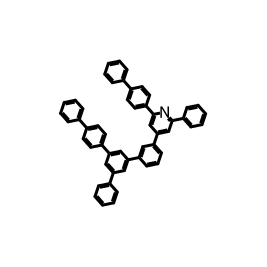 c1ccc(-c2ccc(-c3cc(-c4ccccc4)cc(-c4cccc(-c5cc(-c6ccccc6)nc(-c6ccc(-c7ccccc7)cc6)c5)c4)c3)cc2)cc1